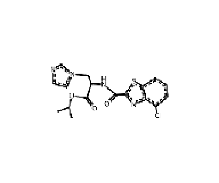 CC(C)OC(=O)C(Cn1ccnc1)NC(=O)c1nc2c(Cl)cccc2s1